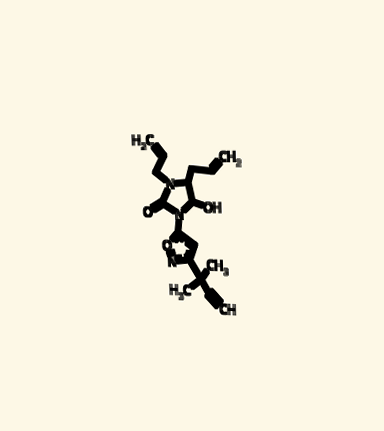 C#CC(C)(C)c1cc(N2C(=O)N(CC=C)C(CC=C)C2O)on1